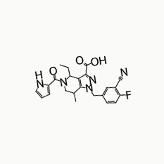 CCC1c2c(C(=O)O)nn(Cc3ccc(F)c(C#N)c3)c2C(C)CN1C(=O)c1ccc[nH]1